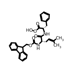 CC(C)=CC[C@H](NC(=O)OCC1c2ccccc2-c2ccccc21)C(=O)N[C@@H](Cc1ccccc1)C(=O)OO